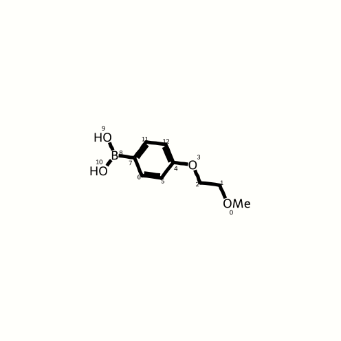 COCCOc1ccc(B(O)O)cc1